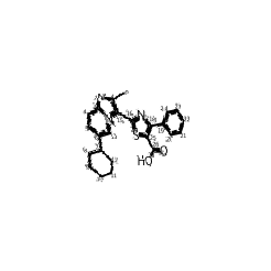 Cc1nc2ccc(C3CCCCC3)cn2c1-c1nc(-c2ccccc2)c(C(=O)O)s1